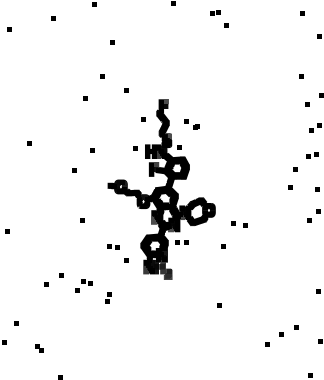 COCCOc1cc(-c2cccc(NSCCCF)c2F)cc2c(N3CCOCC3)nc(-c3ccc(N)nc3)nc12